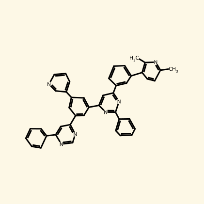 Cc1ccc(-c2cccc(-c3cc(-c4cc(-c5cccnc5)cc(-c5cc(-c6ccccc6)ncn5)c4)nc(-c4ccccc4)n3)c2)c(C)n1